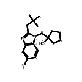 CC(C)(C)Cc1nc2cc(Br)ccc2n1CC1(O)CCCC1